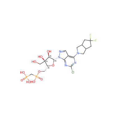 O=P(O)(O)CP(=O)(O)OC[C@H]1O[C@@H](n2ncc3c(N4CC5CC(F)(F)CC5C4)nc(Cl)nc32)[C@H](O)[C@@]1(O)CO